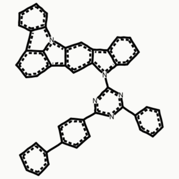 c1ccc(-c2ccc(-c3nc(-c4ccccc4)nc(-n4c5ccccc5c5cc6c(cc54)c4cccc5c7ccccc7n6c54)n3)cc2)cc1